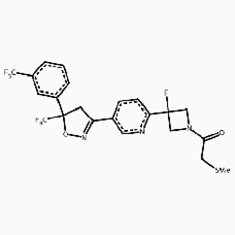 CSCC(=O)N1CC(F)(c2ccc(C3=NOC(c4cccc(C(F)(F)F)c4)(C(F)(F)F)C3)cn2)C1